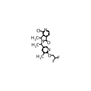 Cc1cc(C(C)N2C(=O)c3ccnc(Cl)c3C2C)cnc1OCC(F)F